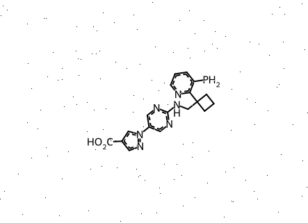 O=C(O)c1cnn(-c2cnc(NCC3(c4ncccc4P)CCC3)nc2)c1